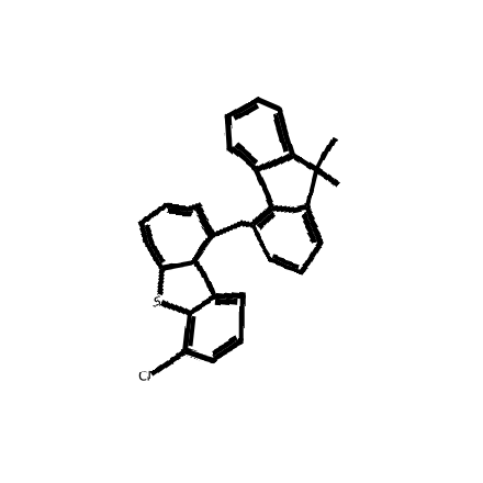 CC1(C)c2ccccc2-c2c(C3C=CC=C4Sc5c(Cl)cccc5C43)cccc21